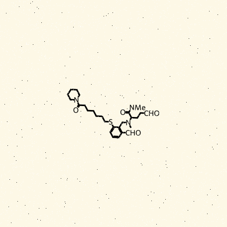 CNC(=O)C(CCC=O)N(C)Cc1c(C=O)cccc1SCCCCCCC(=O)N1CCCCC1